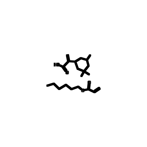 C=C(C(=O)O)C1CC(C)CC(C)(C)C1.C=CC(=O)OCCCCCC